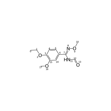 CCOc1ccc(/C(=N/OC)NC=O)cc1OC